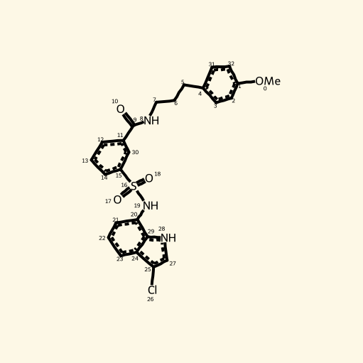 COc1ccc(CCCNC(=O)c2cccc(S(=O)(=O)Nc3cccc4c(Cl)c[nH]c34)c2)cc1